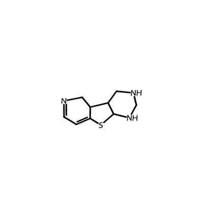 C1=NCC2C(=C1)SC1NCNCC12